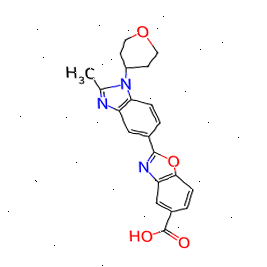 Cc1nc2cc(-c3nc4cc(C(=O)O)ccc4o3)ccc2n1C1CCOCC1